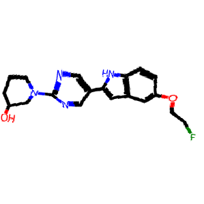 OC1CCCN(c2ncc(-c3cc4cc(OCCF)ccc4[nH]3)cn2)C1